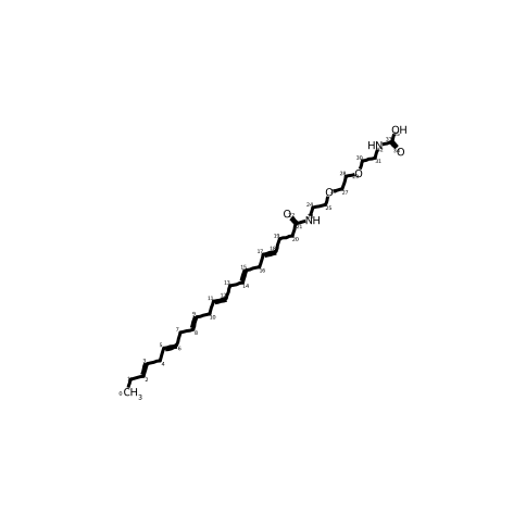 CCC=CCC=CCC=CCC=CCC=CCC=CCCC(=O)NCCOCCOCCNC(=O)O